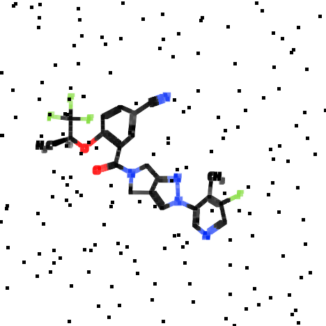 Cc1c(F)cncc1-n1cc2c(n1)CN(C(=O)c1cc(C#N)ccc1O[C@@H](C)C(F)(F)F)C2